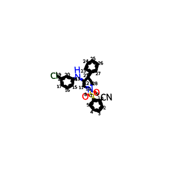 N#Cc1ccccc1S(=O)(=O)N1CC(Nc2cccc(Cl)c2)C(c2ccccc2)C1